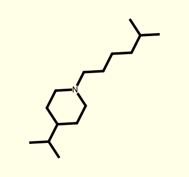 CC(C)CCCCN1CCC(C(C)C)CC1